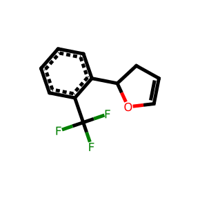 FC(F)(F)c1ccccc1[C]1CC=CO1